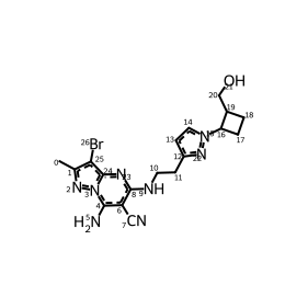 Cc1nn2c(N)c(C#N)c(NCCc3ccn(C4CCC4CO)n3)nc2c1Br